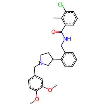 COc1ccc(CN2CCC(c3ccccc3CNC(=O)c3cccc(Cl)c3C)C2)cc1OC